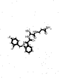 CC(C)(C)C(NC(=O)c1nn(Cc2ccc(F)cc2F)c2ccccc12)C(=O)NCCC(N)=O